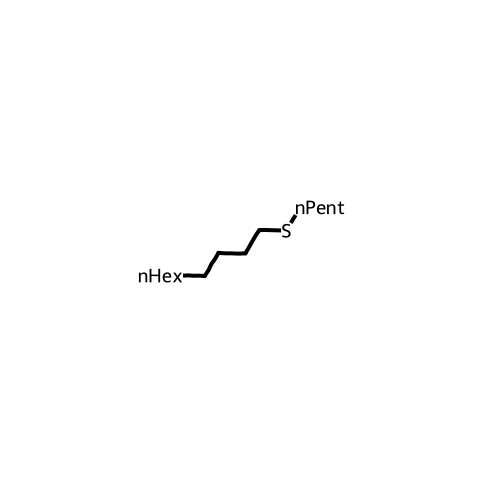 [CH2]CCCCSCCCCCCCCCC